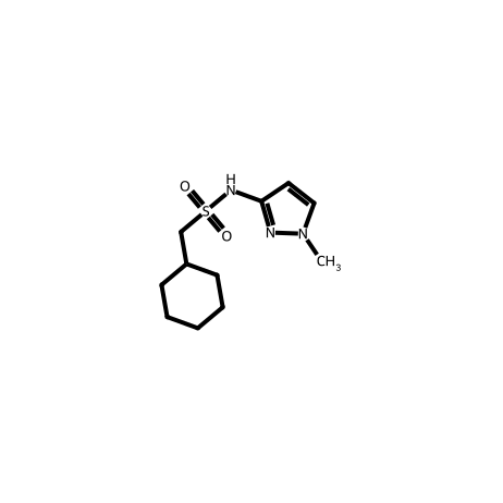 Cn1ccc(NS(=O)(=O)CC2CCCCC2)n1